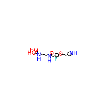 O=C(Cc1ccc(OCCCC2CCNCC2)cc1F)NCCCCCNC(CO)CO